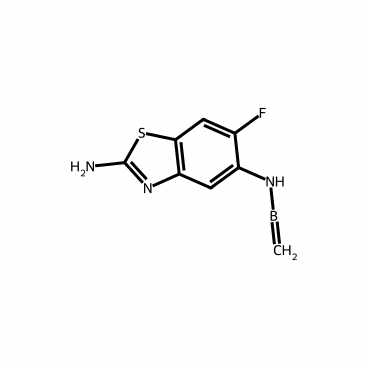 C=BNc1cc2nc(N)sc2cc1F